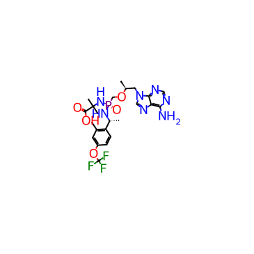 Cc1cc(OC(F)(F)F)ccc1[C@@H](C)NP(=O)(CO[C@@H](C)Cn1cnc2c(N)ncnc21)NC(C)(C)C(=O)O